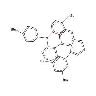 CC(C)(C)c1ccc(N(c2ccc(C(C)(C)C)cc2)c2ccccc2-c2cccc3cccc(-c4cc(C(C)(C)C)cc(C(C)(C)C)c4)c23)cc1